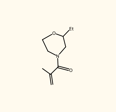 C=C(C)C(=O)N1CCOC(CC)C1